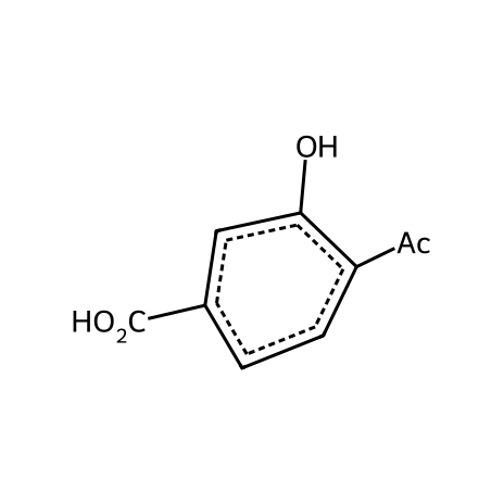 CC(=O)c1ccc(C(=O)O)cc1O